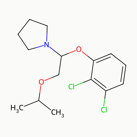 CC(C)OCC(Oc1cccc(Cl)c1Cl)N1CCCC1